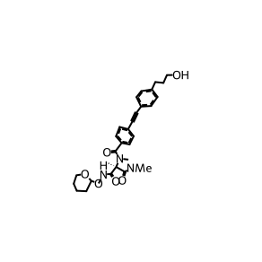 CNC(=O)[C@@](C)(C(=O)NOC1CCCCO1)N(C)C(=O)c1ccc(C#Cc2ccc(CCCO)cc2)cc1